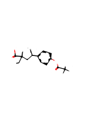 CCC(C)(CC(C)c1ccc(OC(=O)C(C)(C)C)cc1)C(=O)O